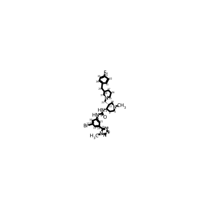 CN1CC[C@@H](NC(=O)Nc2cc(Br)cc(-c3nnnn3C)c2)[C@H](CN2CCCC(Cc3ccc(F)cc3)C2)C1